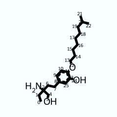 CCC(N)(CO)CCc1ccc(OCCCCCCCC(C)C)c(O)c1